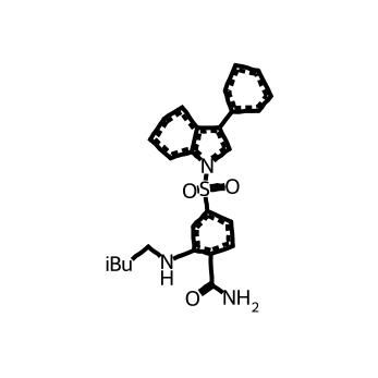 CCC(C)CNc1cc(S(=O)(=O)n2cc(-c3ccccc3)c3ccccc32)ccc1C(N)=O